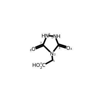 O=C(O)Cn1c(=O)[nH][nH]c1=O